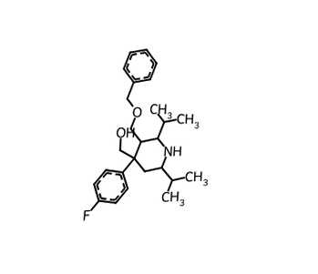 CC(C)C1CC(CO)(c2ccc(F)cc2)C(COCc2ccccc2)C(C(C)C)N1